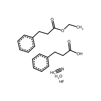 C#N.CCOC(=O)CCc1ccccc1.F.O.O=C(O)CCc1ccccc1